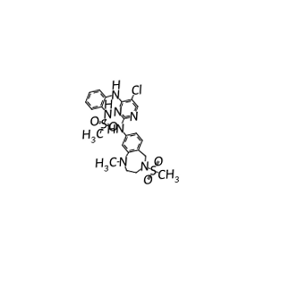 CN1CCN(S(C)(=O)=O)Cc2ccc(Nc3ncc(Cl)c(Nc4ccccc4NS(C)(=O)=O)n3)cc21